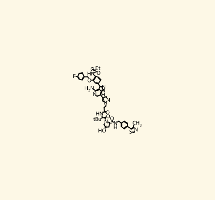 CCS(=O)(=O)Nc1ccc(-c2n[nH]c3c(-c4cnn(CCC(=O)NC(C(=O)N5C[C@H](O)C[C@H]5C(=O)NCc5ccc(-c6scnc6C)cc5)C(C)(C)C)c4)cnc(N)c23)cc1OCc1ccc(F)cc1